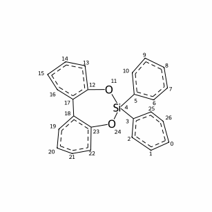 c1ccc([Si]2(c3ccccc3)Oc3ccccc3-c3ccccc3O2)cc1